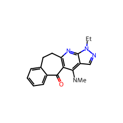 CCn1ncc2c(NC)c3c(nc21)CCc1ccccc1C3=O